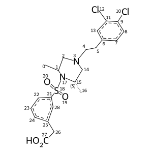 CC1CN(CCc2ccc(Cl)c(Cl)c2)C[C@H](C)N1S(=O)(=O)c1cccc(CC(=O)O)c1